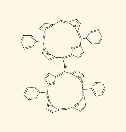 Brc1c2nc(c(-c3ccccc3)c3ccc(cc4nc(c(-c5ccccc5)c5ccc1[nH]5)C=C4)[nH]3)C=C2.C1=Cc2nc1cc1ccc([nH]1)c(-c1ccccc1)c1nc(cc3ccc([nH]3)c2-c2ccccc2)C=C1